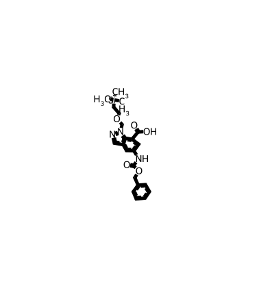 C[Si](C)(C)CCOCn1ncc2cc(NC(=O)OCc3ccccc3)cc(C(=O)O)c21